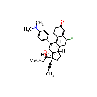 CC#C[C@]1(C(=O)COC)CC[C@H]2[C@@H]3CC(F)C4=CC(=O)CCC4=C3[C@@H](c3ccc(N(C)C)cc3)C[C@@]21C